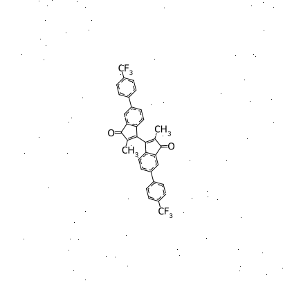 CC1=C(C2=C(C)C(=O)c3cc(-c4ccc(C(F)(F)F)cc4)ccc32)c2ccc(-c3ccc(C(F)(F)F)cc3)cc2C1=O